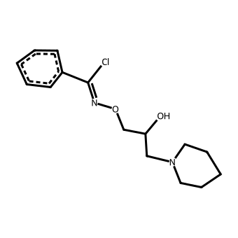 OC(CO/N=C(\Cl)c1ccccc1)CN1CCCCC1